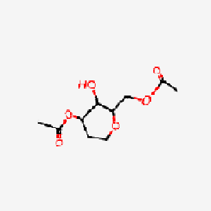 CC(=O)OCC1OCCC(OC(C)=O)C1O